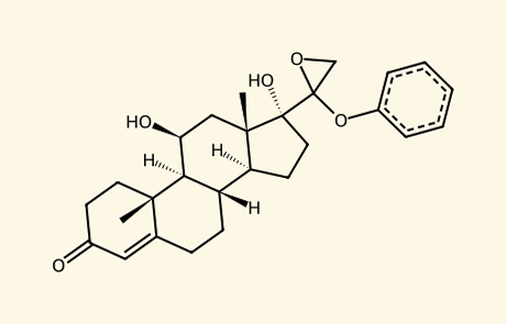 C[C@]12CCC(=O)C=C1CC[C@@H]1[C@@H]2[C@@H](O)C[C@@]2(C)[C@H]1CC[C@]2(O)C1(Oc2ccccc2)CO1